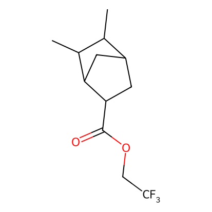 CC1C2CC(C(=O)OCC(F)(F)F)C(C2)C1C